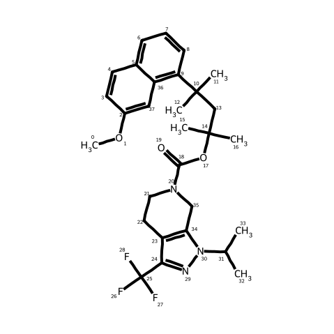 COc1ccc2cccc(C(C)(C)CC(C)(C)OC(=O)N3CCc4c(C(F)(F)F)nn(C(C)C)c4C3)c2c1